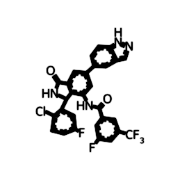 O=C(Nc1cc(-c2ccc3[nH]ncc3c2)cc2c1C(c1cc(F)ccc1Cl)NC2=O)c1cc(F)cc(C(F)(F)F)c1